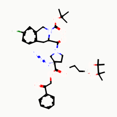 CC(C)(C)OC(=O)N1Cc2cc(Cl)ccc2CC1C(=O)N1C[C@H](CCCB2OC(C)(C)C(C)(C)O2)[C@](N=[N+]=[N-])(C(=O)OCC(=O)c2ccccc2)C1